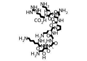 C[C@H](NC(=O)[C@@H](NC(=O)[C@@H](N)CCCCN)[C@@H](O)CN)C(=O)NCC(=O)N[C@H](CCCN)C(=O)N1CCC[C@H]1C(=O)N[C@@H](CC(N)=O)C(=O)N[C@@H](CCCCN)C(=O)N/C(=C\CCNC(=N)N)C(=O)O